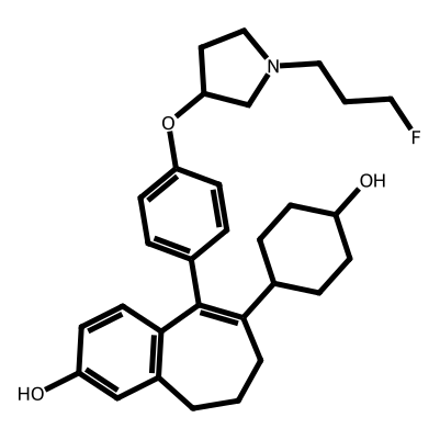 Oc1ccc2c(c1)CCCC(C1CCC(O)CC1)=C2c1ccc(OC2CCN(CCCF)C2)cc1